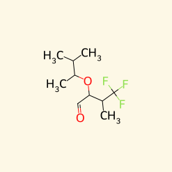 CC(C)C(C)OC(C=O)C(C)C(F)(F)F